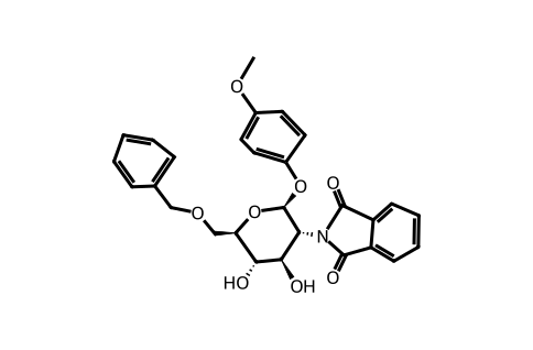 COc1ccc(O[C@@H]2O[C@H](COCc3ccccc3)[C@@H](O)[C@H](O)[C@H]2N2C(=O)c3ccccc3C2=O)cc1